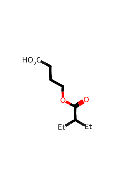 CCC(CC)C(=O)OCCCC(=O)O